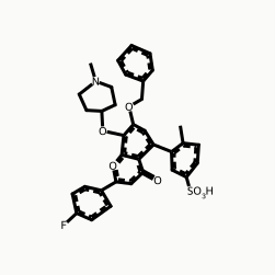 Cc1ccc(S(=O)(=O)O)cc1-c1cc(OCc2ccccc2)c(OC2CCN(C)CC2)c2oc(-c3ccc(F)cc3)cc(=O)c12